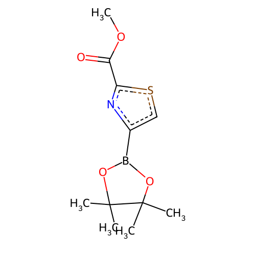 COC(=O)c1nc(B2OC(C)(C)C(C)(C)O2)cs1